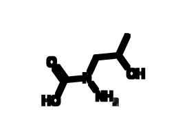 CC(O)CN(N)C(=O)O